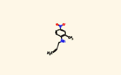 C=CCNc1ccc([N+](=O)[O-])cc1C